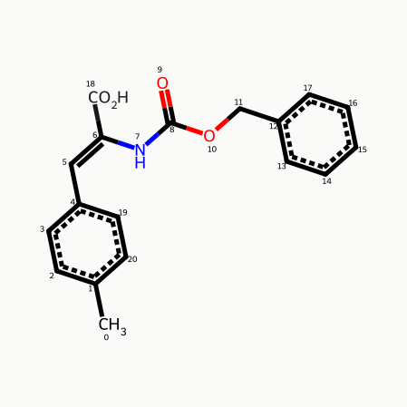 Cc1ccc(/C=C(\NC(=O)OCc2ccccc2)C(=O)O)cc1